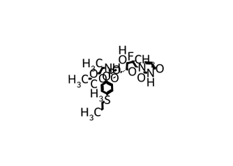 CCCSc1ccc(O[P@](=O)(N[C@@H](C)C(=O)OC(C)C)OC[C@H]2O[C@@H](n3ccc(=O)[nH]c3=O)[C@](C)(F)[C@@H]2O)cc1